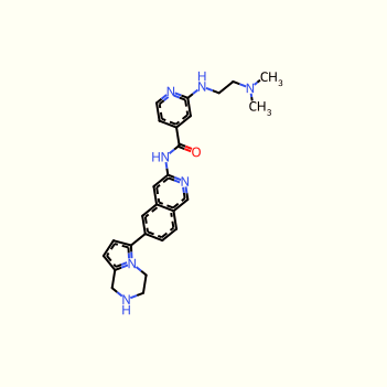 CN(C)CCNc1cc(C(=O)Nc2cc3cc(-c4ccc5n4CCNC5)ccc3cn2)ccn1